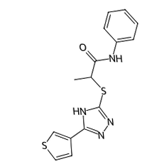 CC(Sc1nnc(-c2ccsc2)[nH]1)C(=O)Nc1ccccc1